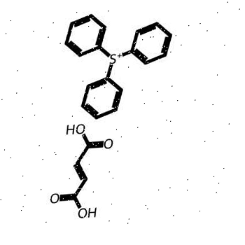 O=C(O)C=CC(=O)O.c1ccc([S+](c2ccccc2)c2ccccc2)cc1